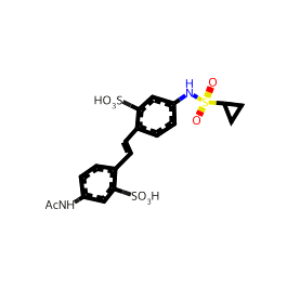 CC(=O)Nc1ccc(/C=C/c2ccc(NS(=O)(=O)C3CC3)cc2S(=O)(=O)O)c(S(=O)(=O)O)c1